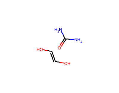 NC(N)=O.O/C=C/O